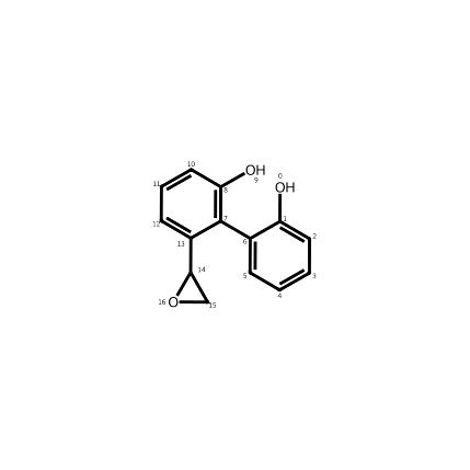 Oc1ccccc1-c1c(O)cccc1C1CO1